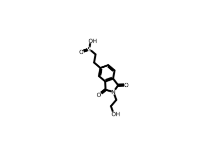 O=C1c2ccc(CCS(=O)O)cc2C(=O)N1CCO